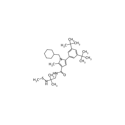 CSNC(C)(C)CNC(=O)c1cc(-c2cc(C(C)(C)C)cc(C(C)(C)C)c2)n(CC2CCCCC2)c1C